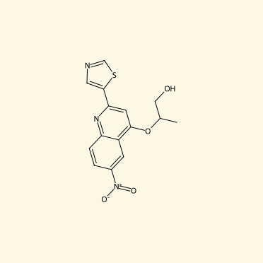 CC(CO)Oc1cc(-c2cncs2)nc2ccc([N+](=O)[O-])cc12